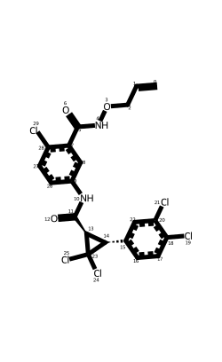 C=CCONC(=O)c1cc(NC(=O)[C@H]2[C@H](c3ccc(Cl)c(Cl)c3)C2(Cl)Cl)ccc1Cl